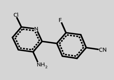 N#Cc1ccc(-c2nc(Cl)ccc2N)c(F)c1